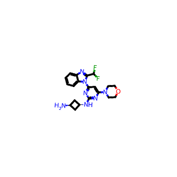 N[C@H]1C[C@H](Nc2nc(N3CCOCC3)cc(-n3c(C(F)F)nc4ccccc43)n2)C1